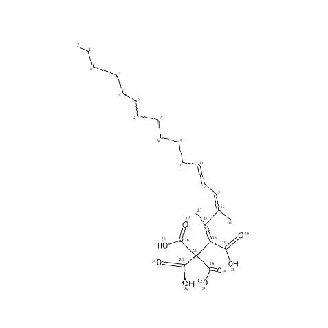 CCCCCCCCCCCC=CC=C(C)C(C)=C(C(=O)O)C(C(=O)O)(C(=O)O)C(=O)O